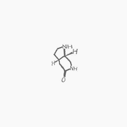 O=C1C[C@@H]2CCN[C@@H]2CN1